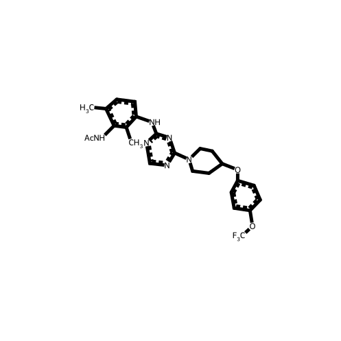 CC(=O)Nc1c(C)ccc(Nc2ncnc(N3CCC(Oc4ccc(OC(F)(F)F)cc4)CC3)n2)c1C